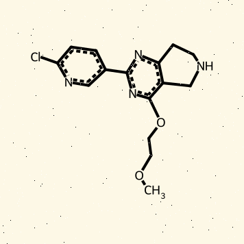 COCCOc1nc(-c2ccc(Cl)nc2)nc2c1CNCC2